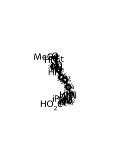 CC[C@H](NC(=O)OC)C(=O)N1CCC[C@H]1c1ncc(-c2ccc3cc(-c4ccc(-c5cnc([C@@H]6CCCN6C(=O)[C@H](C(C)C)N(C)C(=O)O)[nH]5)cc4)ccc3c2)[nH]1